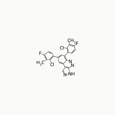 Cc1c(F)ccc(-c2cc(-c3ccc(F)c(C)c3Cl)c3nnc4[nH]ncc4c3c2)c1Cl